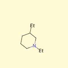 [CH2]CN1CCCC(CC)C1